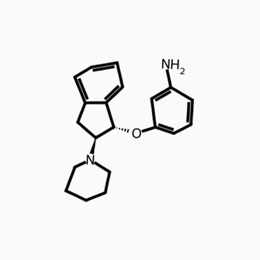 Nc1cccc(O[C@H]2c3ccccc3C[C@@H]2N2CCCCC2)c1